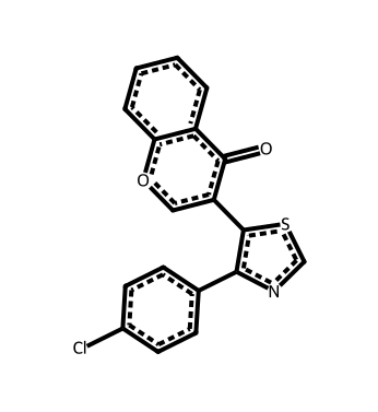 O=c1c(-c2scnc2-c2ccc(Cl)cc2)coc2ccccc12